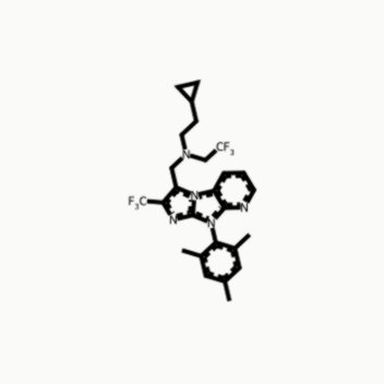 Cc1cc(C)c(-n2c3ncccc3n3c(CN(CCC4CC4)CC(F)(F)F)c(C(F)(F)F)nc23)c(C)c1